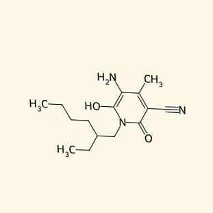 CCCCC(CC)Cn1c(O)c(N)c(C)c(C#N)c1=O